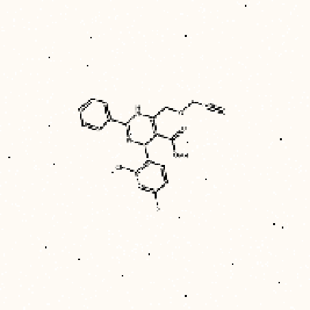 C#CCOCC1=C(C(=O)OC)C(c2ccc(F)cc2Cl)N=C(c2ccccc2)N1